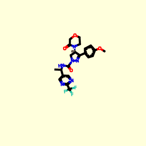 COc1ccc(C2=NN(C(=O)NC(C)c3cnc(C(F)(F)F)nc3)C[C@@H]2N2CCOCC2=O)cc1